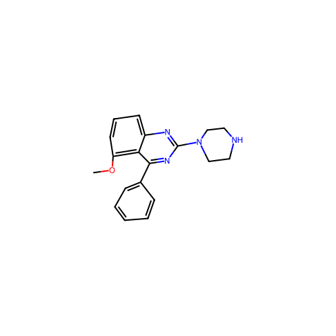 COc1cccc2nc(N3CCNCC3)nc(-c3ccccc3)c12